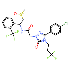 C[S+]([O-])CC(NC(=O)Cn1nc(-c2ccc(Cl)cc2)n(CCC(F)(F)F)c1=O)c1ccccc1C(F)(F)F